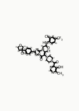 CCc1c(N2CCN(C(=O)c3ncnc(C)c3O)CC2)c(=O)n2nc(-c3ccc(C4(O)CCOC4)cc3)nc2n1CC(=O)Nc1ccc(C(F)(F)F)cc1Cl